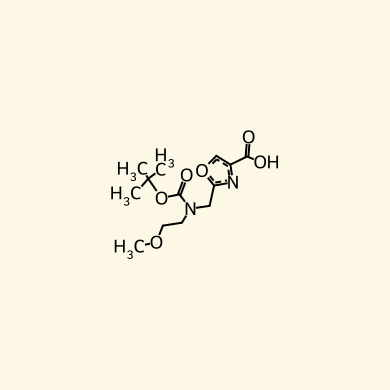 COCCN(Cc1nc(C(=O)O)co1)C(=O)OC(C)(C)C